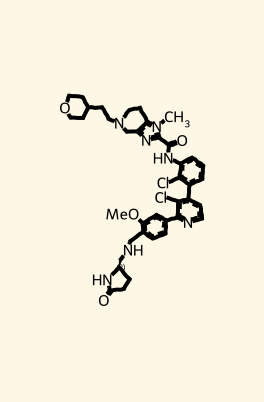 COc1cc(-c2nccc(-c3cccc(NC(=O)c4nc5c(n4C)CCN(CCC4CCOCC4)C5)c3Cl)c2Cl)ccc1CNC[C@H]1CCC(=O)N1